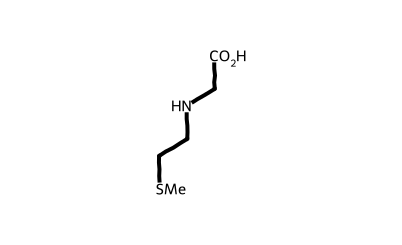 CSCCNCC(=O)O